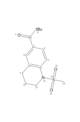 CC(C)(C)C(=O)c1ccc2c(c1)CCCN2S(C)(=O)=O